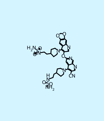 N#Cc1cnc2cnc(Oc3cnc4cc5c(cc4c3N3CCC(CCNS(N)(=O)=O)CC3)OCO5)cc2c1N1CCC(CCNS(N)(=O)=O)CC1